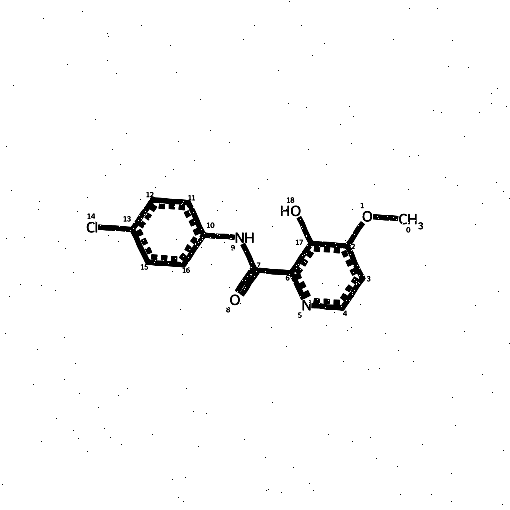 COc1ccnc(C(=O)Nc2ccc(Cl)cc2)c1O